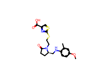 COc1ccc(NC[C@H]2CCC(=O)N2CCSc2nc(C(=O)O)cs2)c(C)c1